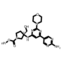 CCCOC(=O)N1CC[C@](CO)(Nc2cc(-c3cnc(N)nc3)nc(N3CCOCC3)n2)C1